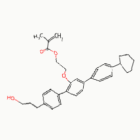 C=C(C)C(=O)OCCOc1cc(-c2ccc(C3CCCCC3)cc2)ccc1-c1ccc(CCCO)cc1